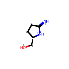 N=C1CC[C@H](CO)N1